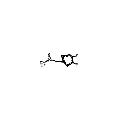 CCN(C)Cc1ccc(F)c(F)c1